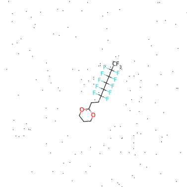 FC(F)(F)C(F)(F)C(F)(F)C(F)(F)C(F)(F)C(F)(F)CCC1OCCCO1